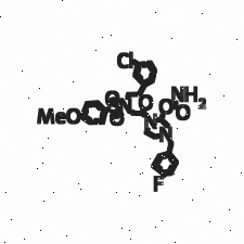 COc1ccc(S(=O)(=O)N(CCc2cccc(Cl)c2)CC(=O)N2CCN(Cc3ccc(F)cc3)CC2OC(N)=O)cc1